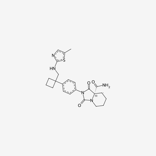 Cc1cnc(NCC2(c3ccc(N4C(=O)N5CCC[CH][C@]5(C(N)=O)C4=O)cc3)CCC2)s1